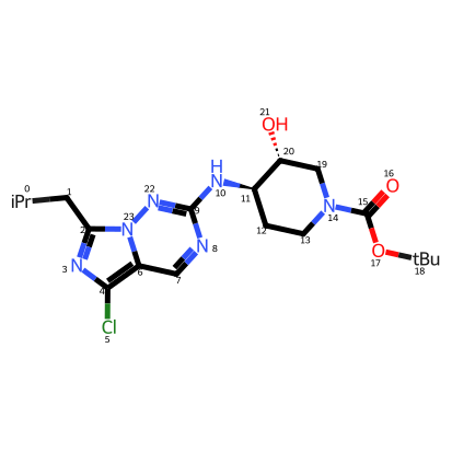 CC(C)Cc1nc(Cl)c2cnc(N[C@@H]3CCN(C(=O)OC(C)(C)C)C[C@H]3O)nn12